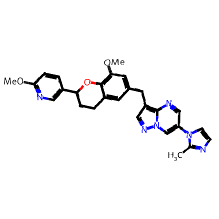 COc1ccc(C2CCc3cc(Cc4cnn5cc(-n6ccnc6C)cnc45)cc(OC)c3O2)cn1